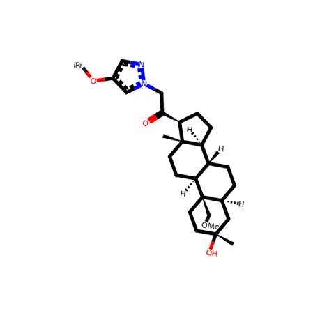 COC[C@]12CC[C@@](C)(O)C[C@@H]1CC[C@H]1[C@@H]3CC[C@H](C(=O)Cn4cc(OC(C)C)cn4)[C@@]3(C)CC[C@@H]12